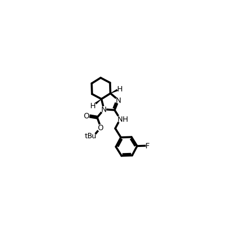 CC(C)(C)OC(=O)N1C(NCc2cccc(F)c2)=N[C@H]2CCCC[C@H]21